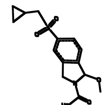 COC1c2ccc(S(=O)(=O)CC3CC3)cc2CN1C(=O)O